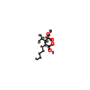 CCCCC/C(C(=O)OC)=C(/C(=O)OC)C(C)C